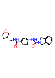 O=C(NC[C@@H]1CCOC1)c1ccc(NC(=O)N2Cc3ccccc3C2)cc1